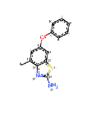 Cc1cc(Oc2ccccc2)cc2sc(N)nc12